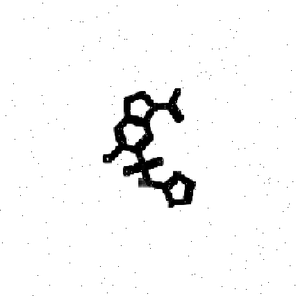 C=C(C)N1CCc2cc(Cl)c(S(=O)(=O)Nc3nccs3)cc21